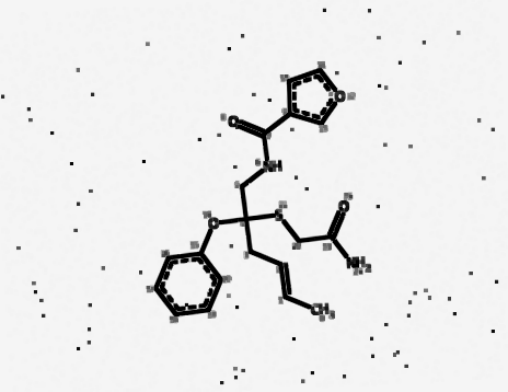 CC=CCC(CNC(=O)c1ccoc1)(Oc1ccccc1)SCC(N)=O